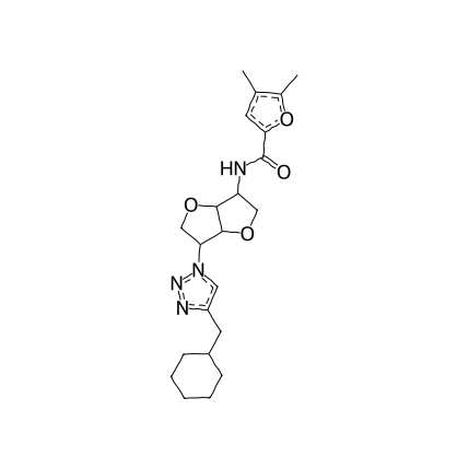 Cc1cc(C(=O)NC2COC3C2OCC3n2cc(CC3CCCCC3)nn2)oc1C